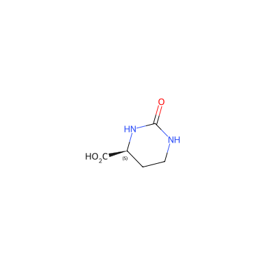 O=C1NCC[C@@H](C(=O)O)N1